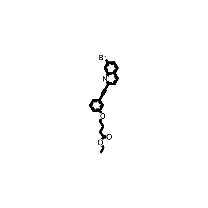 CCOC(=O)CCCOc1cccc(C#Cc2ccc3ccc(Br)cc3n2)c1